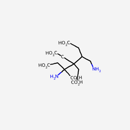 NCC(CC(=O)O)C(CC(=O)O)(CC(=O)O)C(N)(CC(=O)O)C(=O)O